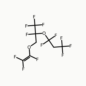 FC(F)=C(F)OCC(F)(OC(F)(F)CC(F)(F)F)C(F)(F)F